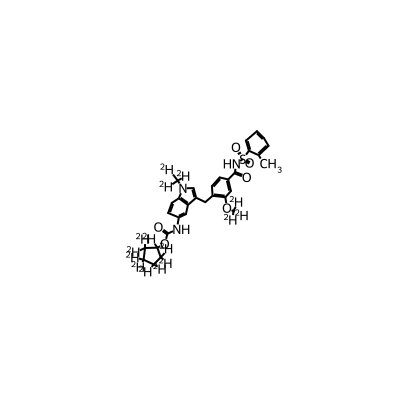 [2H]C([2H])([2H])Oc1cc(C(=O)NS(=O)(=O)c2ccccc2C)ccc1Cc1cn(C([2H])([2H])[2H])c2ccc(NC(=O)OC3([2H])C([2H])([2H])C([2H])([2H])C([2H])([2H])C3([2H])[2H])cc12